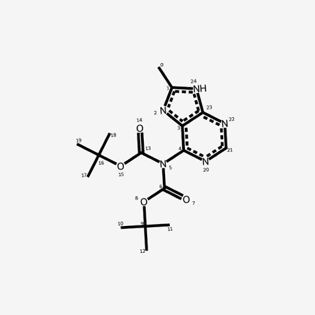 Cc1nc2c(N(C(=O)OC(C)(C)C)C(=O)OC(C)(C)C)ncnc2[nH]1